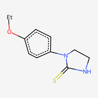 CCOc1ccc(N2CCNC2=S)cc1